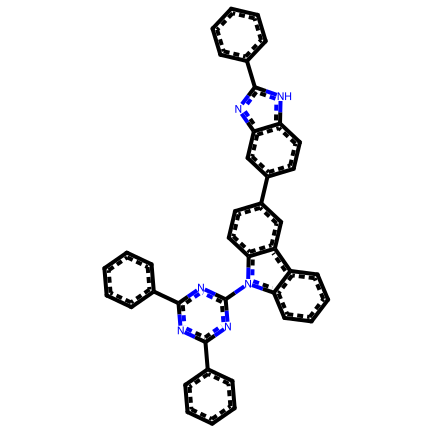 c1ccc(-c2nc(-c3ccccc3)nc(-n3c4ccccc4c4cc(-c5ccc6[nH]c(-c7ccccc7)nc6c5)ccc43)n2)cc1